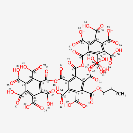 CCCOC(=O)c1c(C(=O)O)c(C(=O)O)c(C(=O)OC(=O)c2c(C(=O)O)c(C(=O)O)c(C(=O)O)c(C(=O)O)c2C(=O)O)c(C(=O)OC(=O)c2c(C(=O)O)c(C(=O)O)c(C(=O)O)c(C(=O)O)c2C(=O)O)c1C(=O)OC(O)(O)O